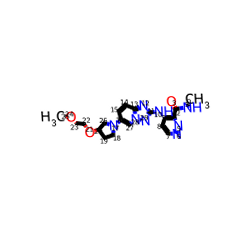 CNC(=O)c1nnccc1Nc1nc2ccc(N3CCC(OCCOC)C3)cn2n1